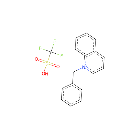 O=S(=O)(O)C(F)(F)F.c1ccc(C[n+]2cccc3ccccc32)cc1